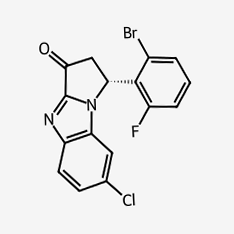 O=C1C[C@H](c2c(F)cccc2Br)n2c1nc1ccc(Cl)cc12